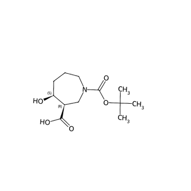 CC(C)(C)OC(=O)N1CCC[C@H](O)[C@H](C(=O)O)C1